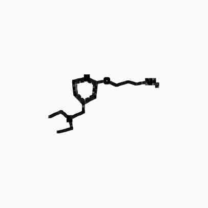 CCN(CC)Cc1ccnc(OCCCN)c1